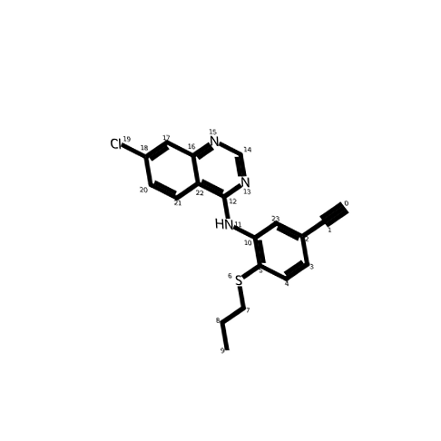 C#Cc1ccc(SCCC)c(Nc2ncnc3cc(Cl)ccc23)c1